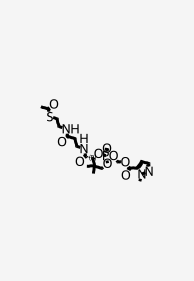 CC(=O)SCCNC(=O)CCNC(=O)[C@@H]1OP(=O)(OCOC(=O)c2ccnn2C)OCC1(C)C